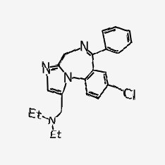 CCN(CC)Cc1cnc2n1-c1ccc(Cl)cc1C(c1ccccc1)=NC2